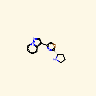 c1ccn2ncc(-c3csc([C@@H]4CCCN4)n3)c2c1